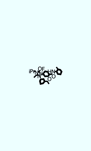 Cc1ccccc1NC(=O)c1cc(F)c(-n2nc(C)n(C(C)C)c2=O)cc1OC(C)c1ccccc1